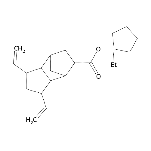 C=CC1CC(C=C)C2C3CC(CC3C(=O)OC3(CC)CCCC3)C12